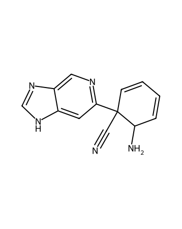 N#CC1(c2cc3[nH]cnc3cn2)C=CC=CC1N